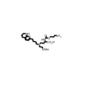 COCCN(CCCCc1ccc2c(n1)NCCC2)CCC(NC(=O)OCCCC(F)(F)F)C(=O)O